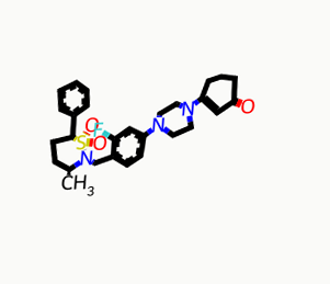 C[C@H]1CCC(c2ccccc2)S(=O)(=O)N1Cc1ccc(N2CCN(C3=CC(=O)CCC3)CC2)cc1F